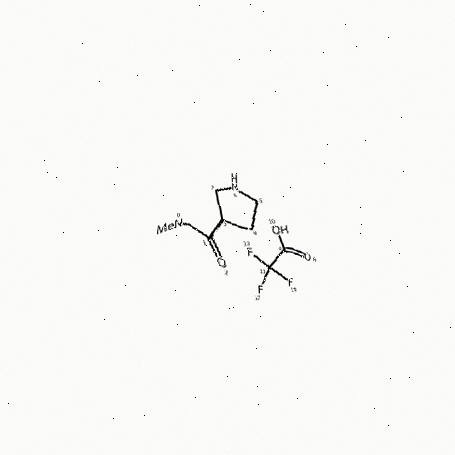 CNC(=O)C1CCNC1.O=C(O)C(F)(F)F